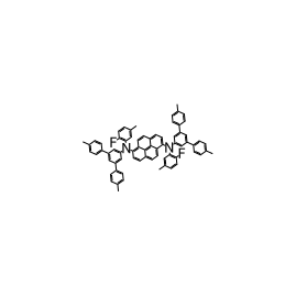 Cc1ccc(-c2cc(-c3ccc(C)cc3)cc(N(c3cc(C)ccc3F)c3ccc4ccc5c(N(c6cc(-c7ccc(C)cc7)cc(-c7ccc(C)cc7)c6)c6cc(C)ccc6F)ccc6ccc3c4c65)c2)cc1